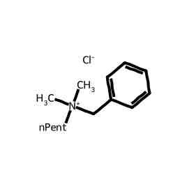 CCCCC[N+](C)(C)Cc1ccccc1.[Cl-]